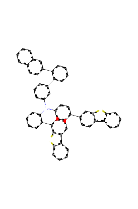 c1cc(-c2ccccc2-c2ccc3ccccc3c2)cc(N(c2ccc(-c3ccc4c(c3)sc3ccccc34)cc2)c2ccccc2-c2cccc3c2sc2ccccc23)c1